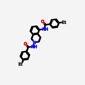 CCc1ccc(C(=O)Nc2cccc3c2CCN(NC(=O)c2ccc(CC)cc2)C3)cc1